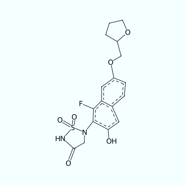 O=C1CN(c2c(O)cc3ccc(OCC4CCCO4)cc3c2F)S(=O)(=O)N1